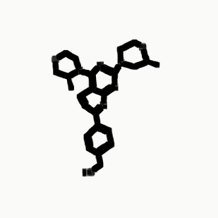 C[C@H]1CN(c2nc(N3CCOC[C@@H]3C)c3ccc(-c4ccc(CO)cc4)nc3n2)CCO1